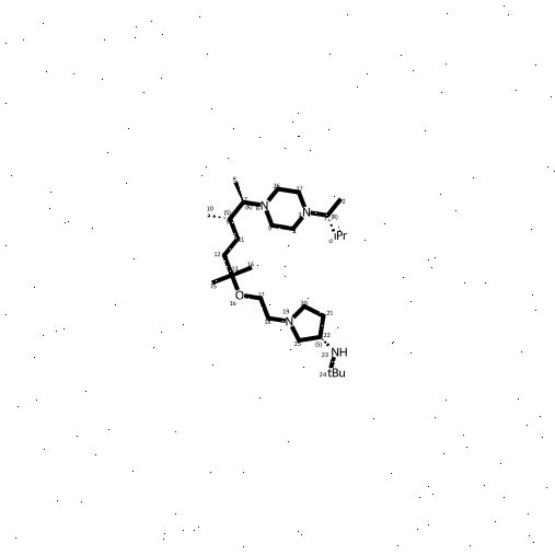 CC(C)[C@@H](C)N1CCN([C@H](C)[C@@H](C)CCC(C)(C)OCCN2CC[C@H](NC(C)(C)C)C2)CC1